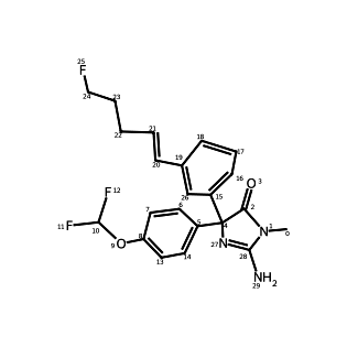 CN1C(=O)C(c2ccc(OC(F)F)cc2)(c2cccc(C=CCCCF)c2)N=C1N